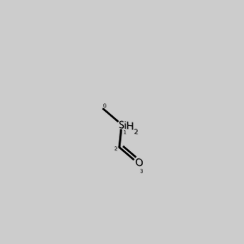 C[SiH2]C=O